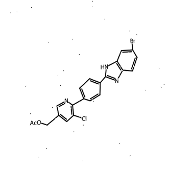 CC(=O)OCc1cnc(-c2ccc(-c3nc4ccc(Br)cc4[nH]3)cc2)c(Cl)c1